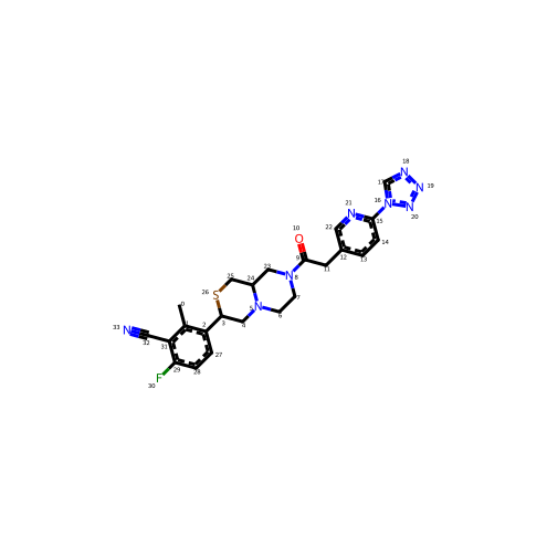 Cc1c(C2CN3CCN(C(=O)Cc4ccc(-n5cnnn5)nc4)CC3CS2)ccc(F)c1C#N